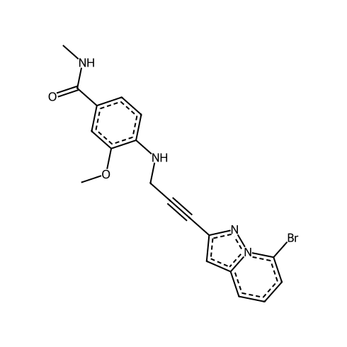 CNC(=O)c1ccc(NCC#Cc2cc3cccc(Br)n3n2)c(OC)c1